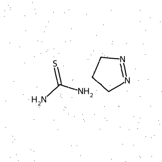 C1CN=NC1.NC(N)=S